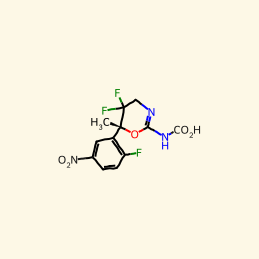 C[C@]1(c2cc([N+](=O)[O-])ccc2F)OC(NC(=O)O)=NCC1(F)F